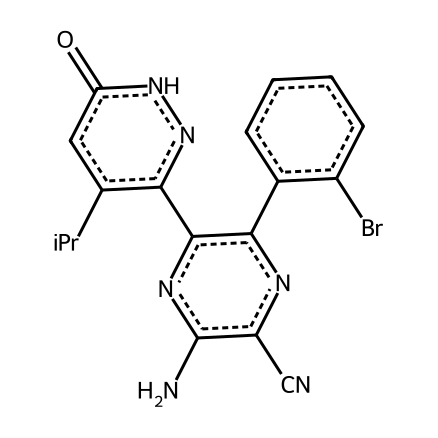 CC(C)c1cc(=O)[nH]nc1-c1nc(N)c(C#N)nc1-c1ccccc1Br